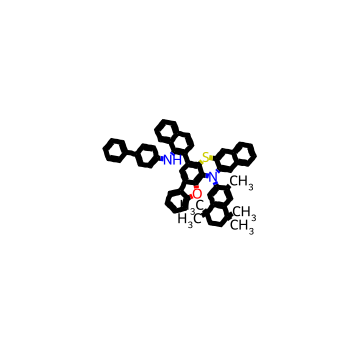 Cc1cc2c(cc1N1c3cc4ccccc4cc3Sc3c(-c4ccc5ccccc5c4Nc4ccc(-c5ccccc5)cc4)cc4c(oc5ccccc54)c31)C(C)(C)CCC2(C)C